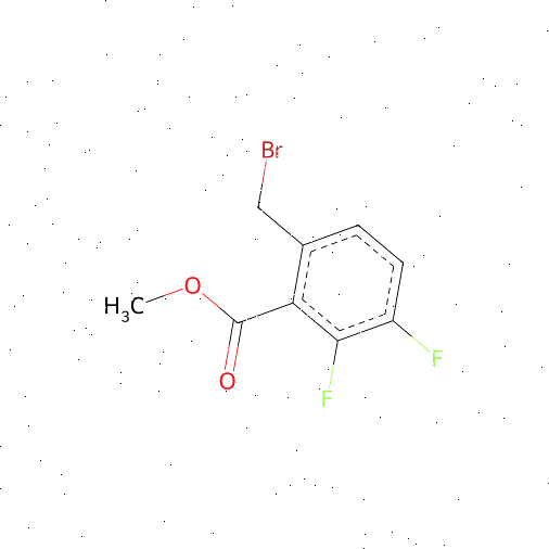 COC(=O)c1c(CBr)ccc(F)c1F